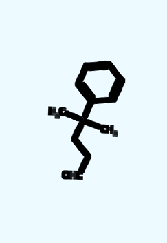 C[Si](C)(CCC=O)c1ccccc1